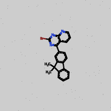 CC1(C)c2ccccc2-c2ccc(-c3nc(Br)nc4ncccc34)cc21